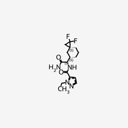 CCn1nccc1C(=O)N[C@H](C(N)=O)[C@H]1CCC[C@]2(C1)CC2(F)F